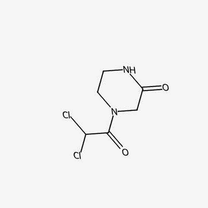 O=C1CN(C(=O)C(Cl)Cl)CCN1